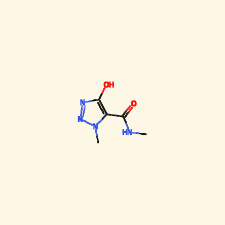 CNC(=O)c1c(O)nnn1C